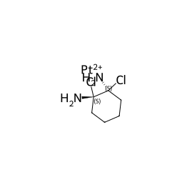 N[C@]1(Cl)CCCC[C@]1(N)Cl.[Pt+2]